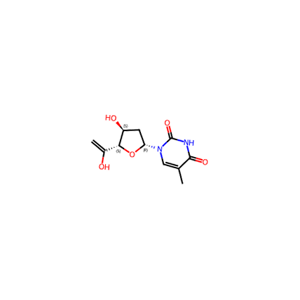 C=C(O)[C@H]1O[C@@H](n2cc(C)c(=O)[nH]c2=O)C[C@@H]1O